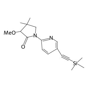 COC1C(=O)N(c2ccc(C#C[Si](C)(C)C)cn2)CC1(C)C